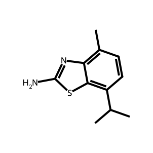 Cc1ccc(C(C)C)c2sc(N)nc12